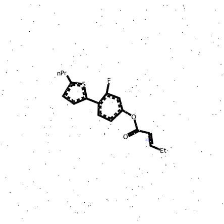 CC/C=C/C(=O)Oc1ccc(-c2ccc(CCC)s2)c(F)c1